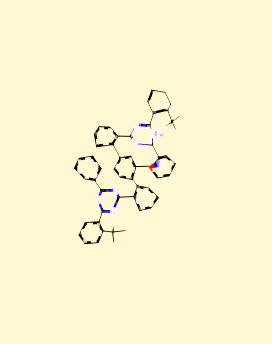 CC(C)(C)C1=C(C2=NC(c3ccccc3-c3ccc(-c4ccccc4-c4nc(-c5ccccc5)nc(-c5ccccc5C(C)(C)C)n4)c(C#N)c3)=NC(c3ccccc3)N2)C=CCC1